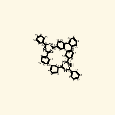 C1=CCC(C2=NC(c3ccccc3)NC(c3ccc(-c4ccccc4-c4ccc(-c5nc(-c6ccccc6)nc(-c6ccccc6)n5)cc4)cc3)=N2)C=C1